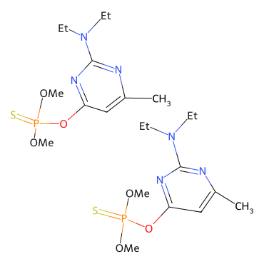 CCN(CC)c1nc(C)cc(OP(=S)(OC)OC)n1.CCN(CC)c1nc(C)cc(OP(=S)(OC)OC)n1